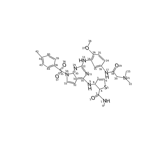 CNC(=O)C1SC=CC1Nc1nc(Nc2cc(NC(=O)CN(C)C)ccc2OC)nc2c1ccn2S(=O)(=O)c1ccc(C)cc1